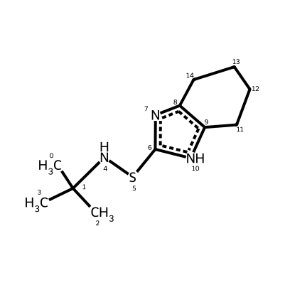 CC(C)(C)NSc1nc2c([nH]1)CCCC2